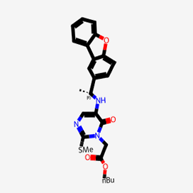 CCCCOC(=O)Cn1c(SC)ncc(N[C@H](C)c2ccc3oc4ccccc4c3c2)c1=O